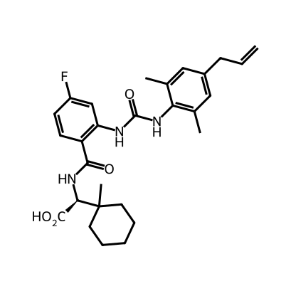 C=CCc1cc(C)c(NC(=O)Nc2cc(F)ccc2C(=O)N[C@H](C(=O)O)C2(C)CCCCC2)c(C)c1